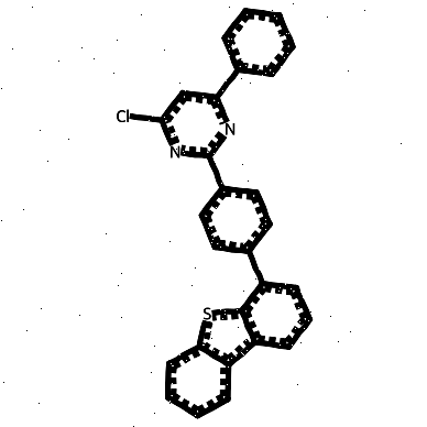 Clc1cc(-c2ccccc2)nc(-c2ccc(-c3cccc4c3sc3ccccc34)cc2)n1